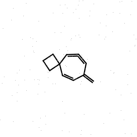 C=C1C=C=CC2(C=C1)CCC2